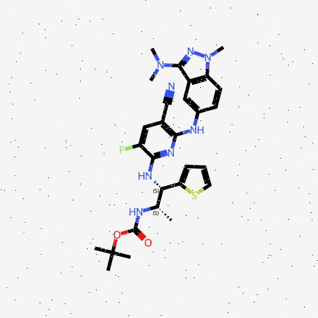 C[C@H](NC(=O)OC(C)(C)C)[C@H](Nc1nc(Nc2ccc3c(c2)c(N(C)C)nn3C)c(C#N)cc1F)c1cccs1